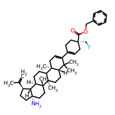 C=C(C)[C@@H]1CC[C@]2(N)CC[C@]3(C)[C@H](CCC4[C@@]5(C)CC=C(C6=CC[C@](CF)(C(=O)OCc7ccccc7)CC6)C(C)(C)[C@@H]5CC[C@]43C)[C@@H]12